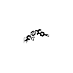 C=C(/C(=C\C)CN1CCN(c2ccc(C(F)(F)F)cn2)[C@H](COC)C1)c1ccc(C#N)cc1